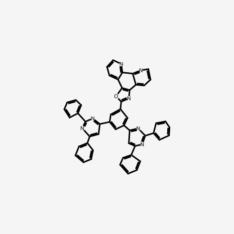 c1ccc(-c2cc(-c3cc(-c4cc(-c5ccccc5)nc(-c5ccccc5)n4)cc(-c4nc5c6cccnc6c6ncccc6c5o4)c3)nc(-c3ccccc3)n2)cc1